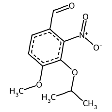 COc1ccc(C=O)c([N+](=O)[O-])c1OC(C)C